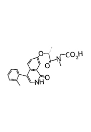 Cc1ccccc1-c1c[nH]c(=O)c2cc(O[C@H](C)C(=O)N(C)CC(=O)O)ccc12